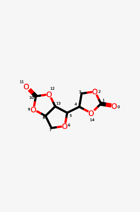 O=C1OCC(C2OCC3OC(=O)OC32)O1